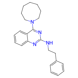 c1ccc(CCNc2nc(N3CCCCCCC3)c3ccccc3n2)cc1